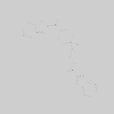 Cc1ccc2nc(C(=O)N3CCC4(CC3)CC4CNC(=O)c3cc4ccncc4o3)[nH]c2c1